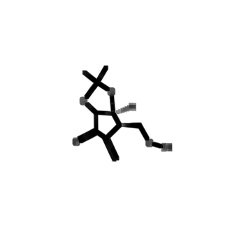 C=C1C(=O)C2OC(C)(C)O[C@H]2[C@H]1COS